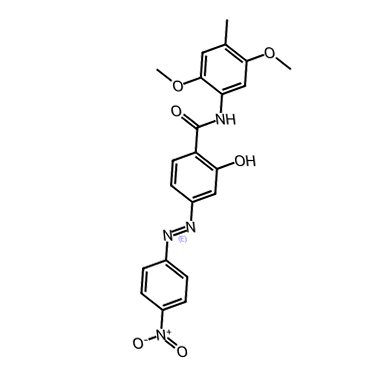 COc1cc(NC(=O)c2ccc(/N=N/c3ccc([N+](=O)[O-])cc3)cc2O)c(OC)cc1C